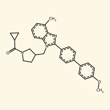 COc1ccc(-c2ccc(-c3nc4c(C)cccc4n3CC3CCN(C(=O)C4CC4)C3)cc2)cc1